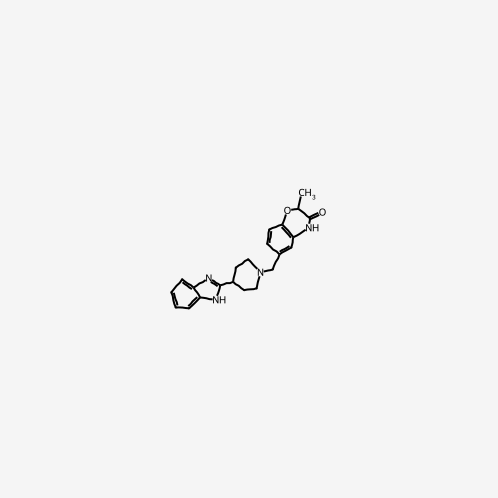 CC1Oc2ccc(CN3CCC(c4nc5ccccc5[nH]4)CC3)cc2NC1=O